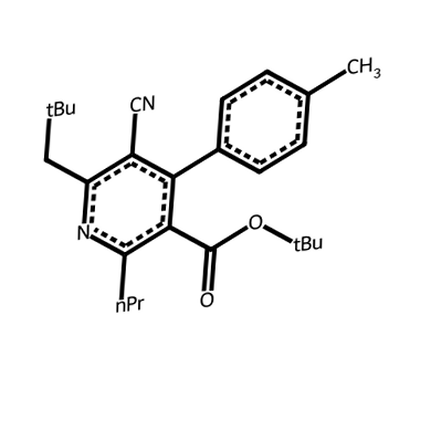 CCCc1nc(CC(C)(C)C)c(C#N)c(-c2ccc(C)cc2)c1C(=O)OC(C)(C)C